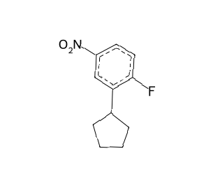 O=[N+]([O-])c1ccc(F)c(C2CCCC2)c1